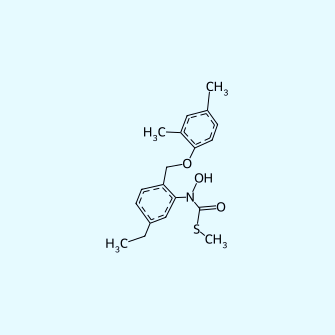 CCc1ccc(COc2ccc(C)cc2C)c(N(O)C(=O)SC)c1